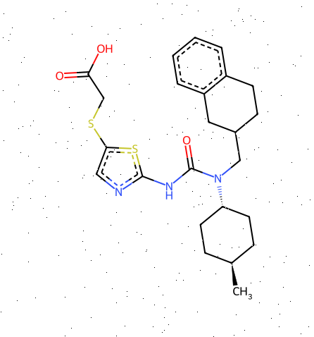 C[C@H]1CC[C@H](N(CC2CCc3ccccc3C2)C(=O)Nc2ncc(SCC(=O)O)s2)CC1